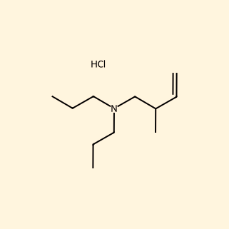 C=CC(C)CN(CCC)CCC.Cl